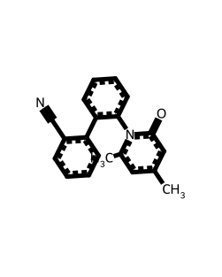 Cc1cc(C)n(-c2ccccc2-c2ccccc2C#N)c(=O)c1